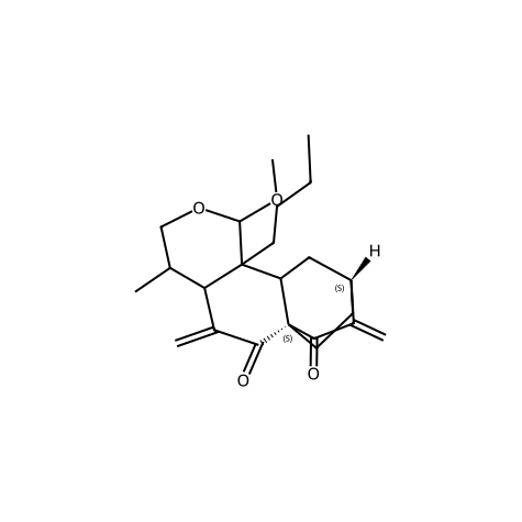 C=C1C(=O)[C@@]23CC[C@@H](CC2C2(CCCC)C(OC)OCC(C)C12)C(=C)C3=O